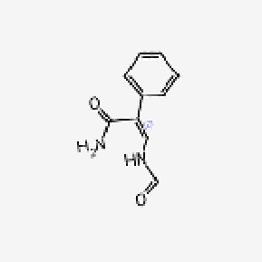 NC(=O)/C(=C\NC=O)c1ccccc1